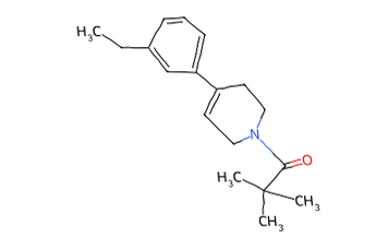 CCc1cccc(C2=CCN(C(=O)C(C)(C)C)CC2)c1